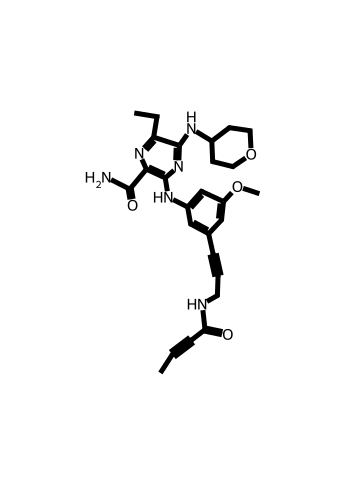 CC#CC(=O)NCC#Cc1cc(Nc2nc(NC3CCOCC3)c(CC)nc2C(N)=O)cc(OC)c1